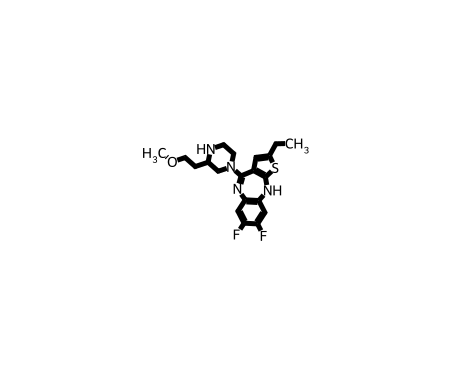 CCc1cc2c(s1)Nc1cc(F)c(F)cc1N=C2N1CCNC(CCOC)C1